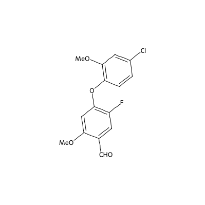 COc1cc(Oc2ccc(Cl)cc2OC)c(F)cc1C=O